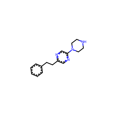 [c]1cccc(CCc2cnc(N3CCNCC3)cn2)c1